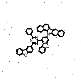 c1ccc(-c2nc(-c3ccc4oc5ccccc5c4c3)nc(-c3cc(-n4c5cc6ccccc6cc5c5ccc6ccccc6c54)cc4oc5ccccc5c34)n2)cc1